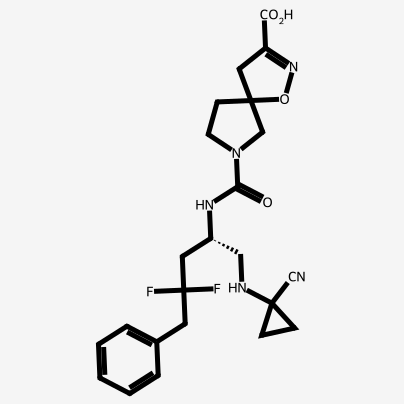 N#CC1(NC[C@H](CC(F)(F)Cc2ccccc2)NC(=O)N2CCC3(CC(C(=O)O)=NO3)C2)CC1